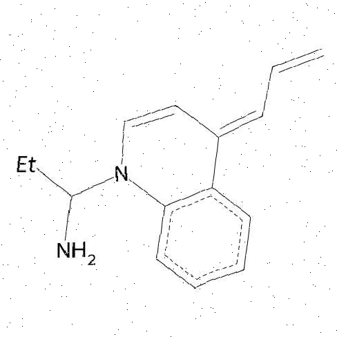 C=CC=C1C=CN(C(N)CC)c2ccccc21